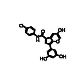 O=C(Nc1ccc(Cl)cc1)c1cc(-c2cc(O)cc(O)c2)c2occ(O)cc1-2